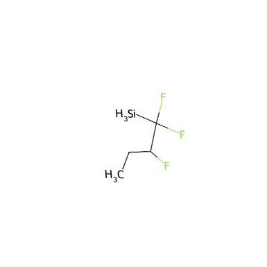 CCC(F)C(F)(F)[SiH3]